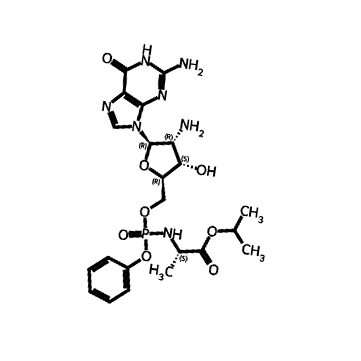 CC(C)OC(=O)[C@H](C)NP(=O)(OC[C@H]1O[C@@H](n2cnc3c(=O)[nH]c(N)nc32)[C@H](N)[C@@H]1O)Oc1ccccc1